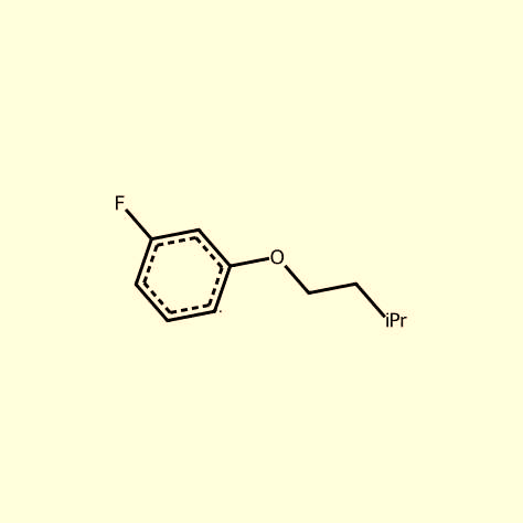 CC(C)CCOc1[c]ccc(F)c1